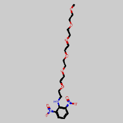 COCCOCCOCCOCCOCCOCCNc1c([N+](=O)[O-])cccc1[N+](=O)[O-]